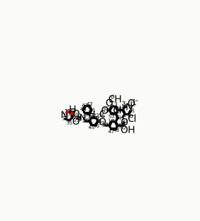 COc1ccc([C@H](Cc2c(Cl)c[n+]([O-])cc2Cl)c2cc(COc3ccc(CN(C(=O)O[C@H]4CN5CCC4CC5)c4ccccc4)cc3)ccc2C(=O)O)cc1OC